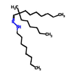 CCCCCCCCN/N=C\C(C)(CCCCCC)CCCCCCC